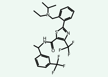 CCN(Cc1ccccc1-c1nc(C(F)(F)F)c(C(=O)NC(C)c2cccc(C(F)(F)F)c2)s1)C(C)C